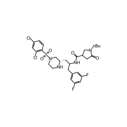 CCCCN1CC(C(=O)NC(Cc2cc(F)cc(F)c2)C[C@H]2CN(S(=O)(=O)c3ccc(Cl)cc3Cl)CCN2)CC1=O